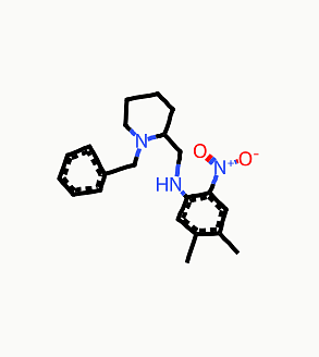 Cc1cc(NCC2CCCCN2Cc2ccccc2)c([N+](=O)[O-])cc1C